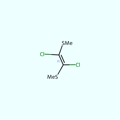 CS/C(Cl)=C(\Cl)SC